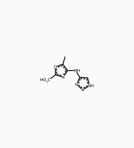 Cc1oc(C(=O)O)nc1Nc1c[nH]nn1